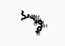 CC/C=C\CC(CCC)CC(C)NC[C@@H](O)CNC(=O)c1ccnc(NC2CCN(C(C)=O)CC2)c1